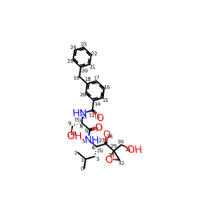 CC(C)C[C@H](NC(=O)[C@H](CO)NC(=O)c1cccc(Cc2ccccc2)c1)C(=O)C1(CO)CO1